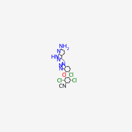 [C-]#[N+]c1cc(Cl)cc(Oc2c(Cl)ccc3c2nnn3Cc2n[nH]c3nc(N)ccc23)c1Cl